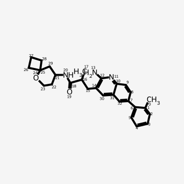 Cc1ccccc1-c1ccc2nc(N)c(CC(C)C(=O)NC3CCOC4(CCC4)C3)cc2c1